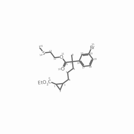 CCOC(=O)C1CC1CCCC(C)(C(=O)OCCSI)c1cccc(Br)c1